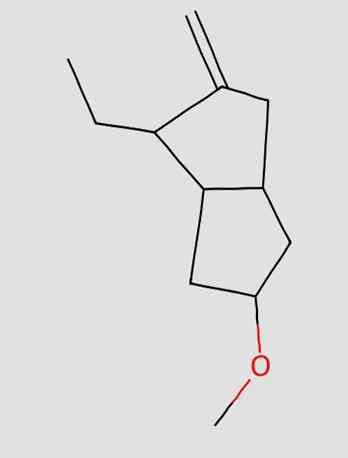 C=C1CC2CC(OC)CC2C1CC